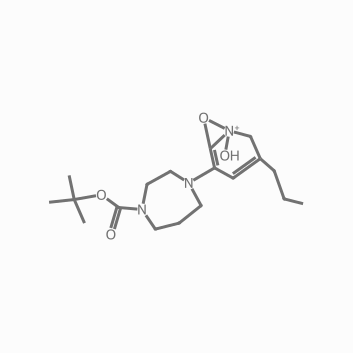 CCCC1=CC(N2CCCN(C(=O)OC(C)(C)C)CC2)=C2O[N+]2(O)C1